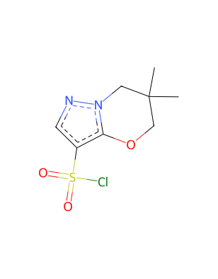 CC1(C)COc2c(S(=O)(=O)Cl)cnn2C1